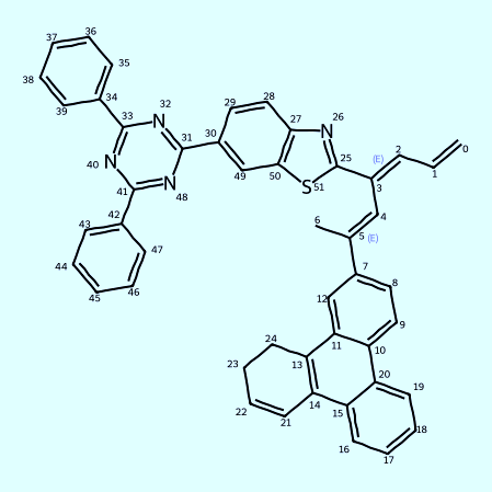 C=C/C=C(\C=C(/C)c1ccc2c(c1)c1c(c3ccccc32)C=CCC1)c1nc2ccc(-c3nc(-c4ccccc4)nc(-c4ccccc4)n3)cc2s1